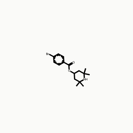 CC1(C)CC(OC(=O)c2ccc(Br)cc2)CC(C)(C)N1